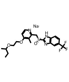 CCC(C)OCCOc1ccnc(C[S+]([O-])c2nc3cc(C(F)(F)F)ccc3[nH]2)c1C.[Na]